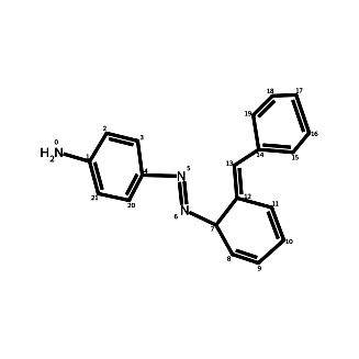 Nc1ccc(N=NC2C=CC=CC2=Cc2ccccc2)cc1